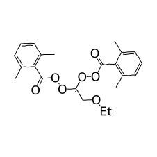 [CH2]COC[C](OOC(=O)c1c(C)cccc1C)OOC(=O)c1c(C)cccc1C